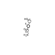 NCC1CN(c2ccc([C@H]3CCS[C@H](O)C3)c(F)c2)C(=O)O1